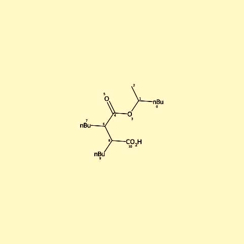 CCCCC(C)OC(=O)C(CCCC)C(CCCC)C(=O)O